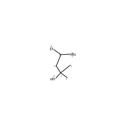 [CH2]CCC(C)(C)CC(CC)CCCC